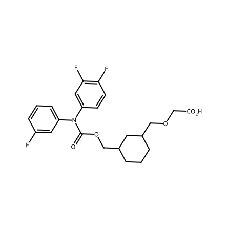 O=C(O)COCC1CCCC(COC(=O)N(c2cccc(F)c2)c2ccc(F)c(F)c2)C1